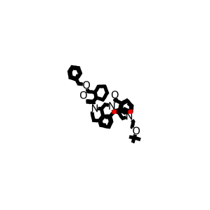 C=C(C1CCCCC1C(=O)OCc1ccccc1)N1CCc2cccc(CC3CCN(CCOC(C)(C)C)C3)c2C1CN1Cc2ccccc2C1=O